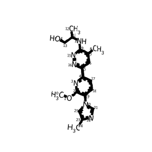 COc1nc(-c2cc(C)c(NC(C)CO)nn2)ccc1-n1cnc(C)c1